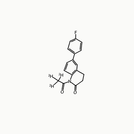 [2H]C([2H])([2H])C(=O)N1C(=O)CCc2cc(-c3ccc(F)cc3)ccc21